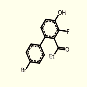 CCC(=O)c1c(-c2ccc(Br)cc2)ccc(O)c1F